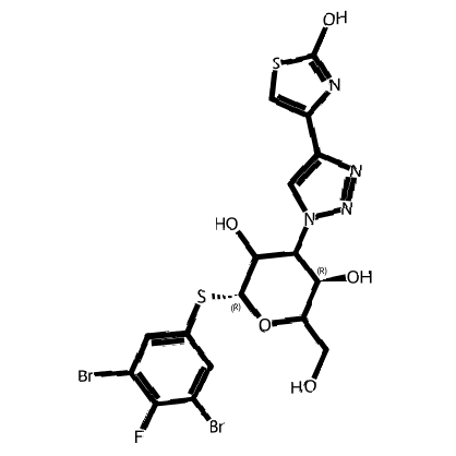 OCC1O[C@H](Sc2cc(Br)c(F)c(Br)c2)C(O)C(n2cc(-c3csc(O)n3)nn2)[C@H]1O